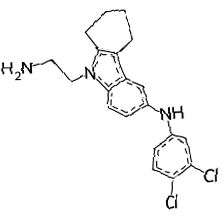 NCCn1c2c(c3cc(Nc4ccc(Cl)c(Cl)c4)ccc31)CCCC2